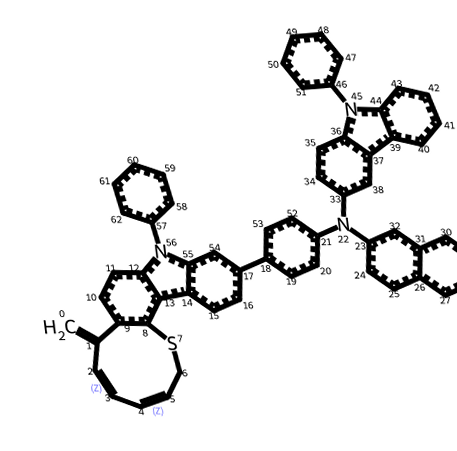 C=C1/C=C\C=C/CSc2c1ccc1c2c2ccc(-c3ccc(N(c4ccc5ccccc5c4)c4ccc5c(c4)c4ccccc4n5-c4ccccc4)cc3)cc2n1-c1ccccc1